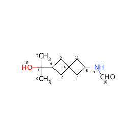 CC(C)(O)C1CC2(CC(NC=O)C2)C1